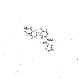 Cc1ccc(N(N)C(=O)C2CCOC2)cc1-c1ccc2c(c1)=CNCC=2